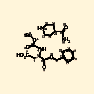 CC(C)(C)OC(=O)N[C@@H](CC(=O)O)C(=O)OCc1ccccc1.NC(=O)C1CCNCC1